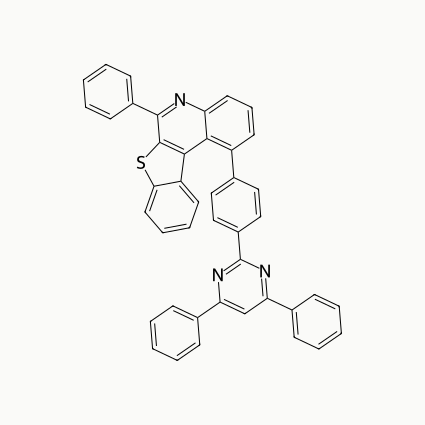 c1ccc(-c2cc(-c3ccccc3)nc(-c3ccc(-c4cccc5nc(-c6ccccc6)c6sc7ccccc7c6c45)cc3)n2)cc1